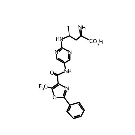 C[C@@H](CC(=N)C(=O)O)Nc1ncc(NC(=O)c2nc(-c3ccccc3)oc2C(F)(F)F)cn1